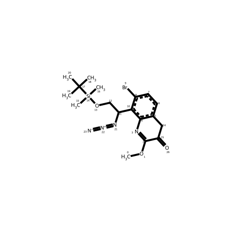 COC1=Nc2c(ccc(Br)c2C(CO[Si](C)(C)C(C)(C)C)N=[N+]=[N-])CC1=O